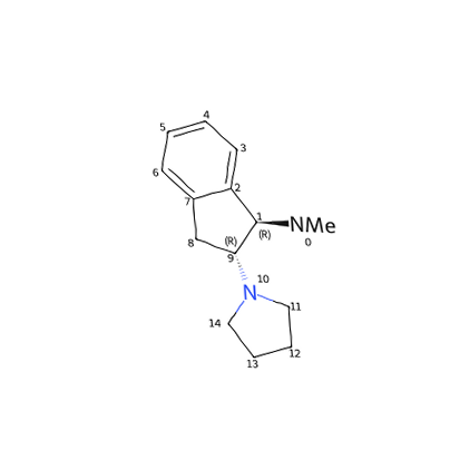 CN[C@@H]1c2ccccc2C[C@H]1N1CCCC1